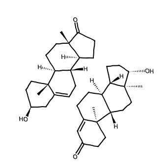 C[C@]12CC[C@H](O)CC1=CC[C@@H]1[C@@H]2CC[C@]2(C)C(=O)CC[C@@H]12.C[C@]12CC[C@H]3[C@@H](CCC4=CC(=O)CC[C@@]43C)[C@@H]1CC[C@@H]2O